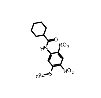 CCCCSc1cc(NC(=O)C2CCCCC2)c([N+](=O)[O-])cc1[N+](=O)[O-]